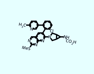 CSc1ncc2cc(-c3c(Cl)cccc3-c3ccc(C)nc3)c(N3CC4C(C3)C4NC(=O)O)nc2n1